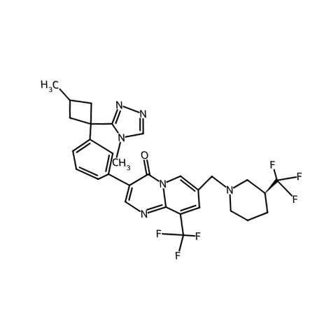 CC1CC(c2cccc(-c3cnc4c(C(F)(F)F)cc(CN5CCC[C@H](C(F)(F)F)C5)cn4c3=O)c2)(c2nncn2C)C1